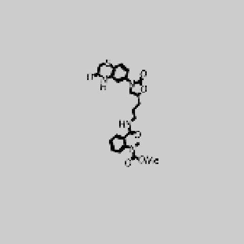 COC(=O)N(C)c1ccccc1C(=O)NCCC[C@H]1CN(c2ccc3c(c2)NC(=O)CS3)C(=O)O1